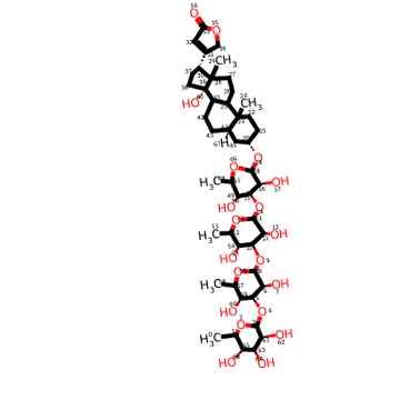 CC1OC(O[C@@H]2[C@H](O)C(O[C@@H]3[C@H](O)C(O[C@@H]4[C@H](O)C(O[C@H]5CCC6(C)C7CCC8(C)[C@@H](C9=CC(=O)OC9)CC[C@]8(O)C7CC[C@@H]6C5)OC(C)[C@@H]4O)OC(C)[C@@H]3O)OC(C)[C@@H]2O)[C@@H](O)[C@@H](O)[C@H]1O